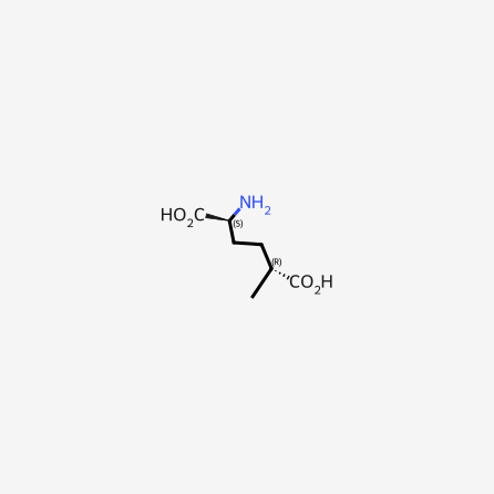 C[C@H](CC[C@H](N)C(=O)O)C(=O)O